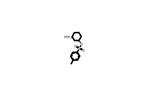 Cc1ccc(S(=O)(=O)O[C@@H]2CCC[C@@H](O)C2)cc1